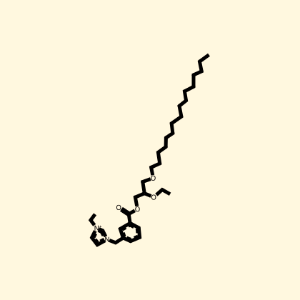 CCCCCCCCCCCCCCCCOCC(COC(=O)c1cccc(Cn2cc[n+](CC)c2)c1)OCC